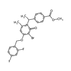 COC(=O)c1ccc(C(C)n2c(C)cc(OCc3ccc(F)cc3F)c(Br)c2=O)cc1